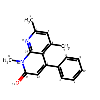 Cc1cc(C)c2c(-c3ccccc3)cc(=O)n(C)c2n1